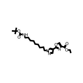 CCOC(=O)c1coc(-c2cnn(CCCCCCCCCNC(=O)OC(C)(C)C)c2)n1